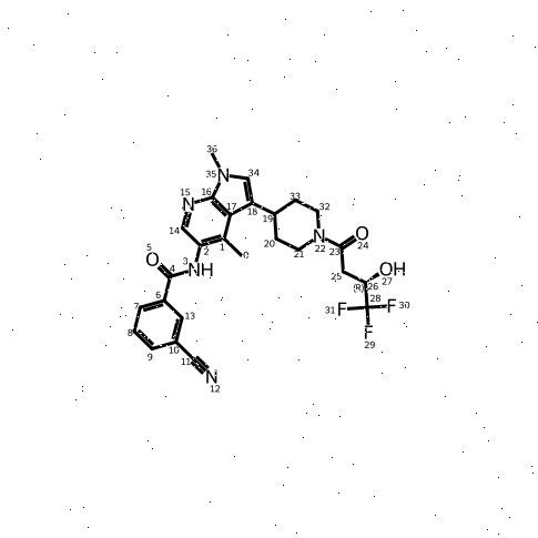 Cc1c(NC(=O)c2cccc(C#N)c2)cnc2c1c(C1CCN(C(=O)C[C@@H](O)C(F)(F)F)CC1)cn2C